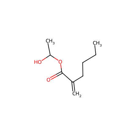 C=C(CCCC)C(=O)OC(C)O